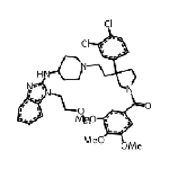 CCOCCn1c(NC2CCN(CCC3(c4ccc(Cl)c(Cl)c4)CCN(C(=O)c4cc(OC)c(OC)c(OC)c4)C3)CC2)nc2ccccc21